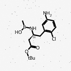 CB(O)N[C@H](CC(=O)OC(C)(C)C)Cc1cc(N)ccc1Cl